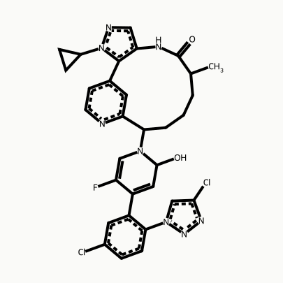 CC1CCCC(N2C=C(F)C(c3cc(Cl)ccc3-n3cc(Cl)nn3)=CC2O)c2cc(ccn2)-c2c(cnn2C2CC2)NC1=O